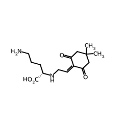 CC1(C)CC(=O)C(=CCN[C@@H](CCCN)C(=O)O)C(=O)C1